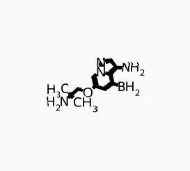 Bc1cc(OCC(C)(C)N)cn2ncc(N)c12